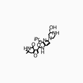 CC(C)Oc1nc(N2CCN[C@H](CO)C2)ccc1NC(=O)c1coc2c1C(=O)NC(C)(C)C2